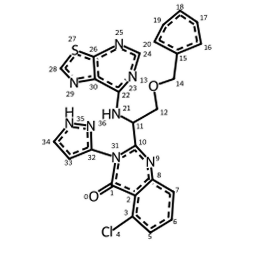 O=c1c2c(Cl)cccc2nc(C(COCc2ccccc2)Nc2ncnc3scnc23)n1-c1cc[nH]n1